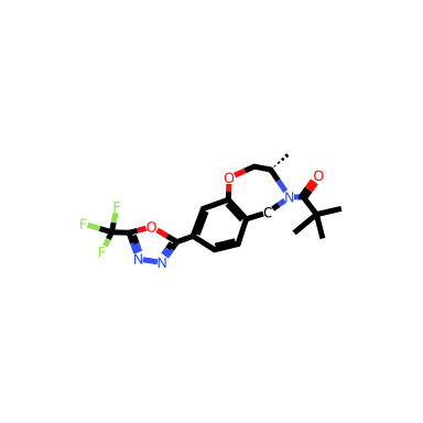 C[C@H]1COc2cc(-c3nnc(C(F)(F)F)o3)ccc2CN1C(=O)C(C)(C)C